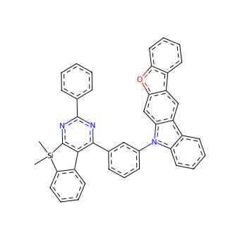 C[Si]1(C)c2ccccc2-c2c(-c3cccc(-n4c5ccccc5c5cc6c(cc54)oc4ccccc46)c3)nc(-c3ccccc3)nc21